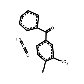 N=C=O.O=C(c1ccccc1)c1ccc(F)c([N+](=O)[O-])c1